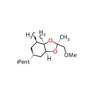 CCC[C@@H](C)[C@H]1C[C@@H](C)[C@@]2(C)O[C@@](C)(COC)O[C@H]2C1